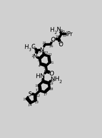 Cc1nc2cc(C(=O)Nc3cc(-c4cccs4)ccc3N)ccc2n1CCOC(=O)C(N)C(C)C